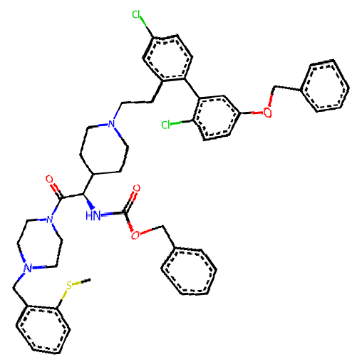 CSc1ccccc1CN1CCN(C(=O)[C@H](NC(=O)OCc2ccccc2)C2CCN(CCc3cc(Cl)ccc3-c3cc(OCc4ccccc4)ccc3Cl)CC2)CC1